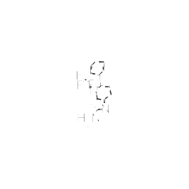 Nc1nc2ccc(-c3ccccc3C(F)(F)F)nc2s1